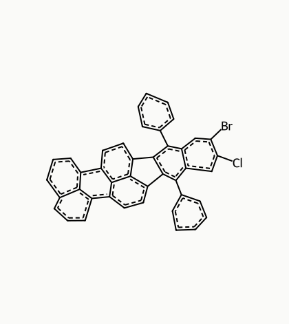 Clc1cc2c(-c3ccccc3)c3c(c(-c4ccccc4)c2cc1Br)-c1ccc2c4cccc5cccc(c6ccc-3c1c62)c54